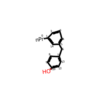 CCCc1cccc(Cc2ccc(O)cc2)c1